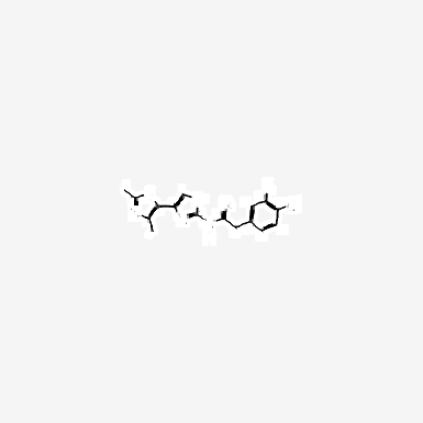 Cc1nc(C)c(-c2csc(NC(=O)Cc3ccc(Cl)c(F)c3)n2)s1